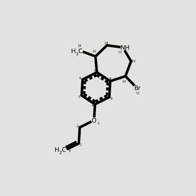 C=CCOc1ccc2c(c1)C(Br)CNCC2C